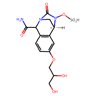 NC(=O)C1c2ccc(OCC(O)CO)cc2[C@H]2CN1C(=O)N2OS(=O)(=O)O